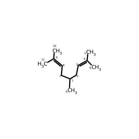 C[C](CC=C(C)C)CC=C(C)C